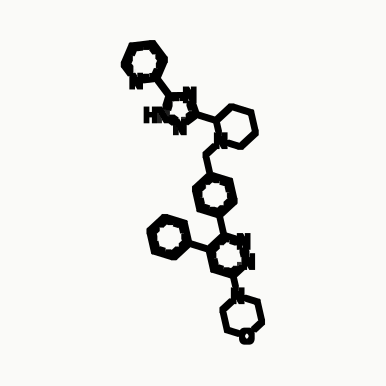 c1ccc(-c2cc(N3CCOCC3)nnc2-c2ccc(CN3CCCCC3c3n[nH]c(-c4ccccn4)n3)cc2)cc1